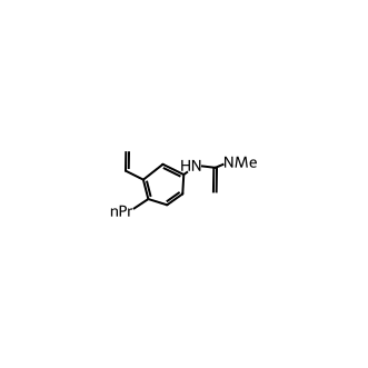 C=Cc1cc(NC(=C)NC)ccc1CCC